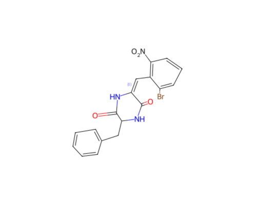 O=C1NC(Cc2ccccc2)C(=O)N/C1=C/c1c(Br)cccc1[N+](=O)[O-]